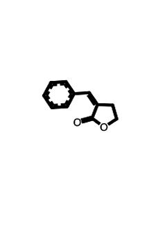 O=C1OCCC1=Cc1ccccc1